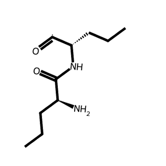 CCC[C@@H]([C]=O)NC(=O)[C@@H](N)CCC